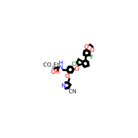 CCOC(=O)[C@](C)(CO)NCc1cc(Cl)c(O[C@H]2CCc3c(-c4ccc5c(c4F)OCCO5)cccc32)cc1OCc1cncc(C#N)c1